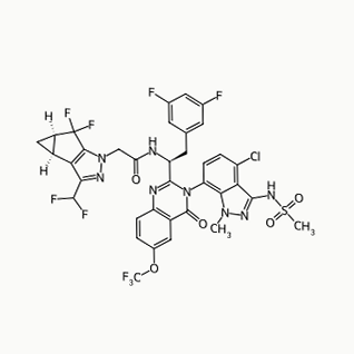 Cn1nc(NS(C)(=O)=O)c2c(Cl)ccc(-n3c([C@H](Cc4cc(F)cc(F)c4)NC(=O)Cn4nc(C(F)F)c5c4C(F)(F)[C@@H]4C[C@H]54)nc4ccc(OC(F)(F)F)cc4c3=O)c21